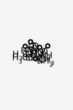 C[C@H](NC(=O)OCc1ccccc1)C(=O)c1c(N)cccc1-c1cc(-c2ccccc2OCc2ccccc2)nc(NC(=O)c2ccccc2)c1C(=O)OC(C)(C)C